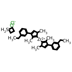 C1C[SiH2]C1.CCc1cccc(C2=CC(C)[C]([Zr+2][C]3=C(C)C(c4cccc(CC)c4)=CC3C)=C2C)c1.[Cl-].[Cl-]